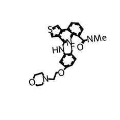 CNC(=O)c1cccc2c1nc(Nc1cc(OCCN3CCOCC3)ccc1F)c1cscc12